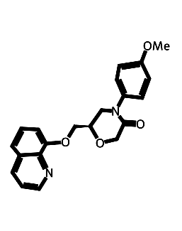 COc1ccc(N2C[C@H](COc3cccc4cccnc34)OCC2=O)cc1